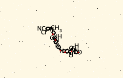 CN(c1ccc(C#N)c(Cl)c1)[C@H]1CC[C@H](NC(=O)c2ccc(N3CCC(CN4Cc5cc6c(cc5C4)C(=O)N(C4CCC(=O)NC4=O)C6=O)CC3)cn2)CC1